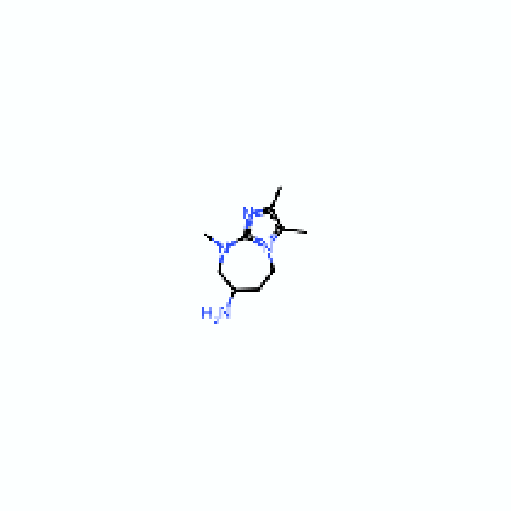 Cc1nc2n(c1C)CCC(N)CN2C